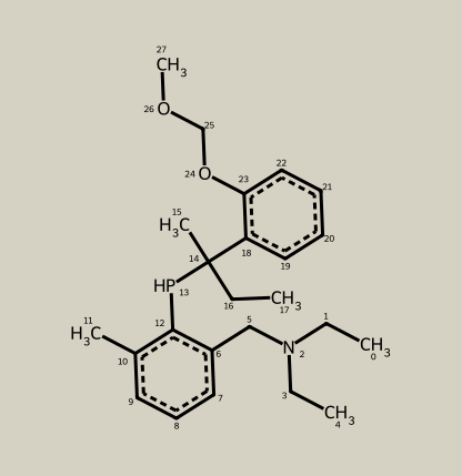 CCN(CC)Cc1cccc(C)c1PC(C)(CC)c1ccccc1OCOC